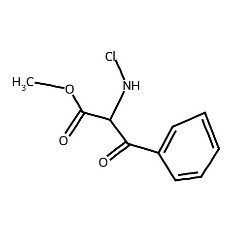 COC(=O)C(NCl)C(=O)c1ccccc1